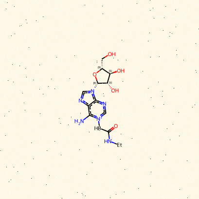 CCNC(=O)B[n+]1cnc2c(ncn2[C@@H]2O[C@H](CO)[C@@H](O)[C@@H]2O)c1N